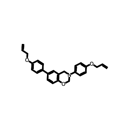 C=CCOc1ccc(-c2ccc3c(c2)CN(c2ccc(OCC=C)cc2)CO3)cc1